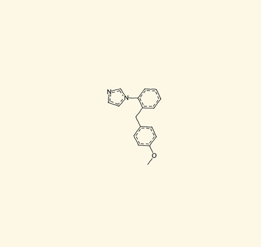 COc1ccc(Cc2ccccc2-n2ccnc2)cc1